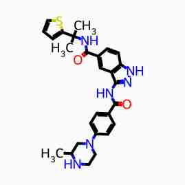 CC1CN(c2ccc(C(=O)Nc3n[nH]c4ccc(C(=O)NC(C)(C)c5cccs5)cc34)cc2)CCN1